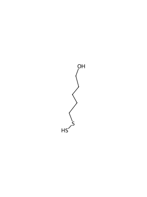 OCCCCCSS